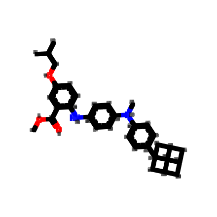 COC(=O)c1cc(OCC(C)C)ccc1Nc1ccc(N(C)c2ccc(C34CC5CC6CC(C3)C654)cc2)cc1